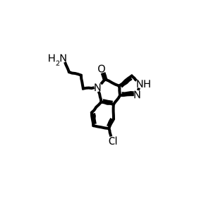 NCCCn1c(=O)c2c[nH]nc2c2cc(Cl)ccc21